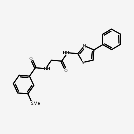 CSc1cccc(C(=O)NCC(=O)Nc2nc(-c3ccccc3)cs2)c1